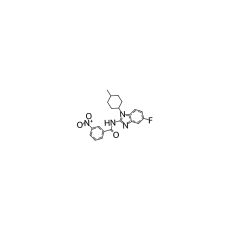 CC1CCC(n2c(NC(=O)c3cccc([N+](=O)[O-])c3)nc3cc(F)ccc32)CC1